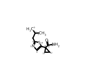 CC(C)Cc1ncc(C2(C(N)=O)CC2)s1